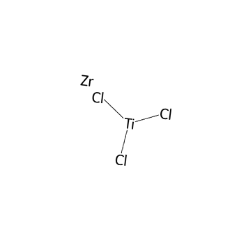 [Cl][Ti]([Cl])[Cl].[Zr]